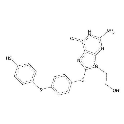 Nc1nc2c(nc(Sc3ccc(Sc4ccc(S)cc4)cc3)n2CCO)c(=O)[nH]1